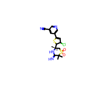 CC1(C)C(=N)N[C@](C)(C2SC(c3cncc(C#N)c3)=CC2Cl)CS1(=O)=O